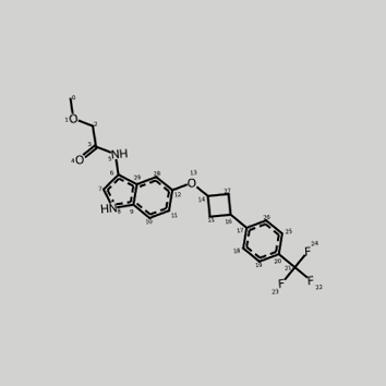 COCC(=O)Nc1c[nH]c2ccc(OC3CC(c4ccc(C(F)(F)F)cc4)C3)cc12